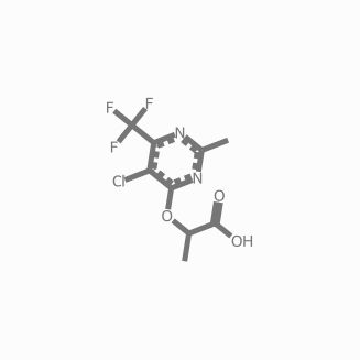 Cc1nc(OC(C)C(=O)O)c(Cl)c(C(F)(F)F)n1